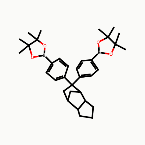 CC1(C)OB(c2ccc(C3(c4ccc(B5OC(C)(C)C(C)(C)O5)cc4)CC4CC3C3CCCC43)cc2)OC1(C)C